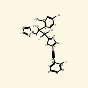 OC(Cn1cnnn1)(c1ccc(F)cc1F)C(F)(F)C1=NC=C(C#Cc2ccccc2F)C1